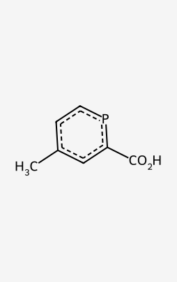 Cc1ccpc(C(=O)O)c1